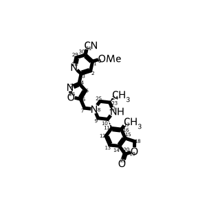 COc1cc(-c2cc(CN3C[C@@H](c4ccc5c(c4C)COC5=O)N[C@@H](C)C3)on2)ncc1C#N